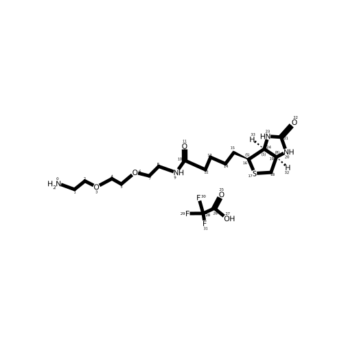 NCCOCCOCCNC(=O)CCCC[C@@H]1SC[C@@H]2NC(=O)N[C@@H]21.O=C(O)C(F)(F)F